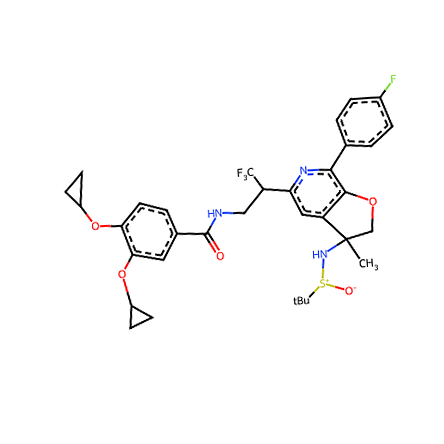 CC1(N[S+]([O-])C(C)(C)C)COc2c1cc(C(CNC(=O)c1ccc(OC3CC3)c(OC3CC3)c1)C(F)(F)F)nc2-c1ccc(F)cc1